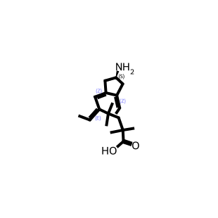 C/C=C1/C[C@H](N)C/C1=C/C(=C\C)C(C)(C)CC(C)(C)C(=O)O